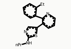 CCCNc1ncc(-c2cccnc2-c2ccccc2CC)s1